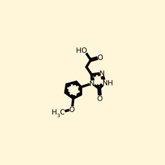 COc1cccc(-n2c(CC(=O)O)n[nH]c2=O)c1